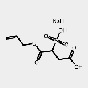 C=CCOC(=O)C(CC(=O)O)S(=O)(=O)O.[NaH]